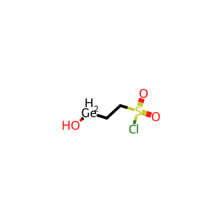 O=S(=O)(Cl)C[CH2][GeH2][OH]